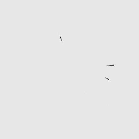 C[C@@H]1CC2C3C[C@H](F)C4=CC(=O)C=C[C@]4(C)C3[C@@H](O)C[C@]2(C)[C@@]1(C)C(=O)CO